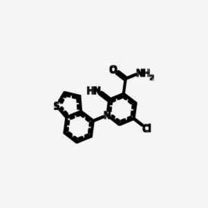 N=c1c(C(N)=O)cc(Cl)cn1-c1cccc2sccc12